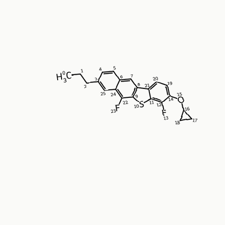 CCCc1ccc2cc3c(sc4c(F)c(OC5CC5)ccc43)c(F)c2c1